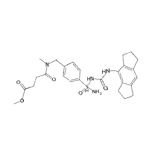 COC(=O)CCC(=O)N(C)Cc1ccc([SH](N)(=O)NC(=O)Nc2c3c(cc4c2CCC4)CCC3)cc1